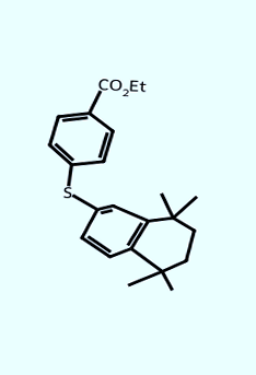 CCOC(=O)c1ccc(Sc2ccc3c(c2)C(C)(C)CCC3(C)C)cc1